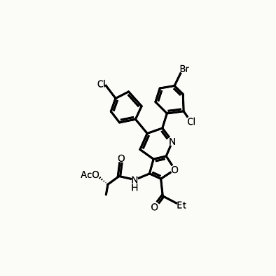 CCC(=O)c1oc2nc(-c3ccc(Br)cc3Cl)c(-c3ccc(Cl)cc3)cc2c1NC(=O)[C@H](C)OC(C)=O